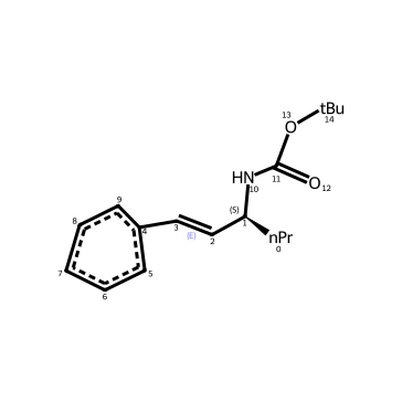 CCC[C@@H](/C=C/c1ccccc1)NC(=O)OC(C)(C)C